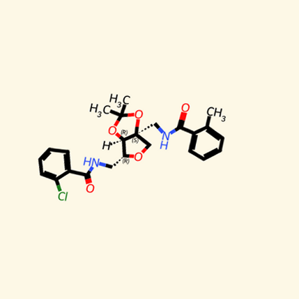 Cc1ccccc1C(=O)NC[C@]12CO[C@H](CNC(=O)c3ccccc3Cl)[C@H]1OC(C)(C)O2